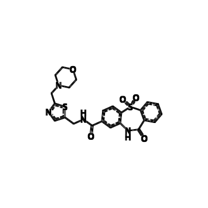 O=C(NCc1cnc(CN2CCOCC2)s1)c1ccc2c(c1)NC(=O)c1ccccc1S2(=O)=O